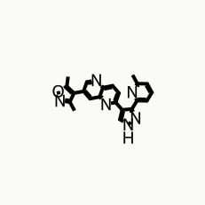 Cc1cccc(-c2n[nH]cc2-c2ccc3ncc(-c4c(C)noc4C)cc3n2)n1